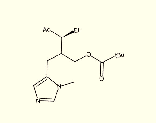 CC[C@H](C(C)=O)C(COC(=O)C(C)(C)C)Cc1cncn1C